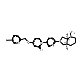 CN1CCC[C@@H]2CN(c3ccc(-n4ccc(OCc5ccc(I)cn5)cc4=O)cn3)C[C@@H]21